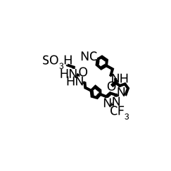 N#Cc1ccc(CCNC(=O)C2CCCN2c2cc(-c3ccc(CCNC(=O)NCCS(=O)(=O)O)cc3)nc(C(F)(F)F)n2)cc1